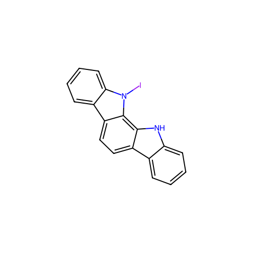 In1c2ccccc2c2ccc3c4ccccc4[nH]c3c21